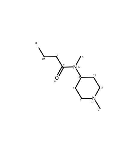 CN1CCC(N(C)C(=O)CCI)CC1